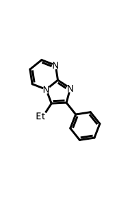 CCc1c(-c2ccccc2)nc2ncccn12